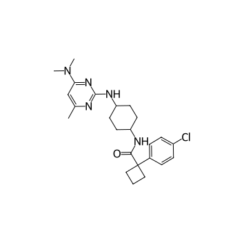 Cc1cc(N(C)C)nc(NC2CCC(NC(=O)C3(c4ccc(Cl)cc4)CCC3)CC2)n1